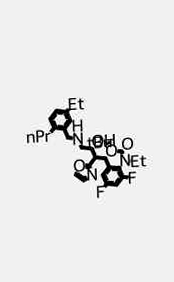 CCCc1ccc(CC)cc1CNCC(O)C(Cc1cc(F)cc(F)c1N(CC)C(=O)OC(C)(C)C)c1ncco1